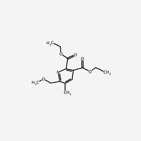 CCOC(=O)c1cc(C)c(COC)nc1C(=O)OCC